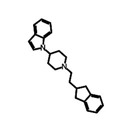 c1ccc2c(c1)CC(CCN1CCC(n3ccc4ccccc43)CC1)C2